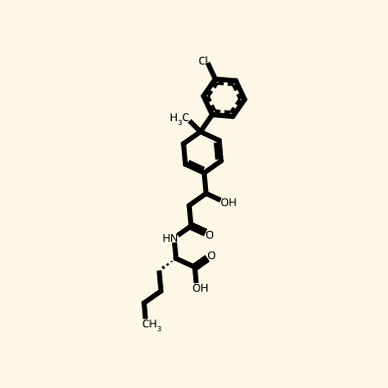 CCCC[C@H](NC(=O)CC(O)C1=CCC(C)(c2cccc(Cl)c2)C=C1)C(=O)O